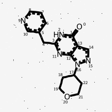 O=c1[nH]c(Cc2cccnc2)nc2c1cnn2C1CCOCC1